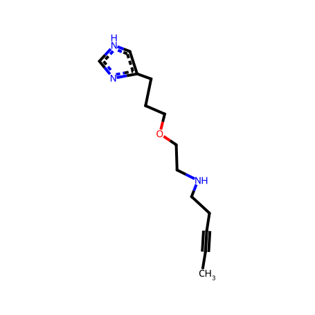 CC#CCCNCCOCCCc1c[nH]cn1